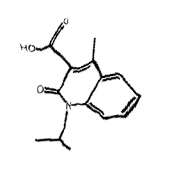 Cc1c(C(=O)O)c(=O)n(C(C)C)c2ccccc12